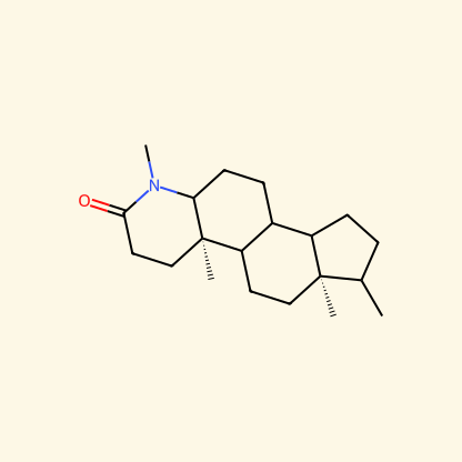 CC1CCC2C3CCC4N(C)C(=O)CC[C@]4(C)C3CC[C@]12C